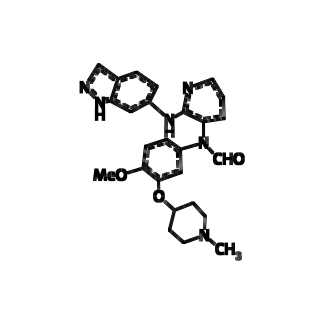 COc1ccc(N(C=O)c2cccnc2Nc2ccc3cn[nH]c3c2)cc1OC1CCN(C)CC1